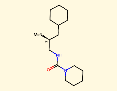 CN[C@H](CNC(=O)N1CCCCC1)CC1CCCCC1